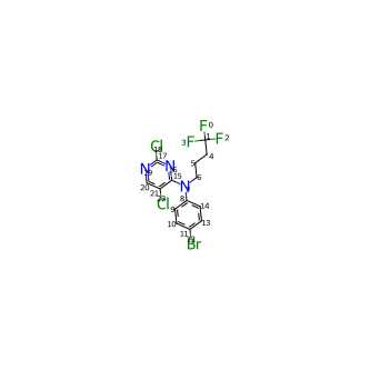 FC(F)(F)CCCN(c1ccc(Br)cc1)c1nc(Cl)ncc1Cl